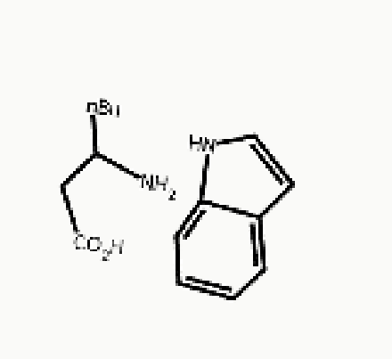 CCCCC(N)CC(=O)O.c1ccc2[nH]ccc2c1